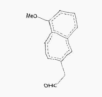 COc1cccc2cc(CC=O)ccc12